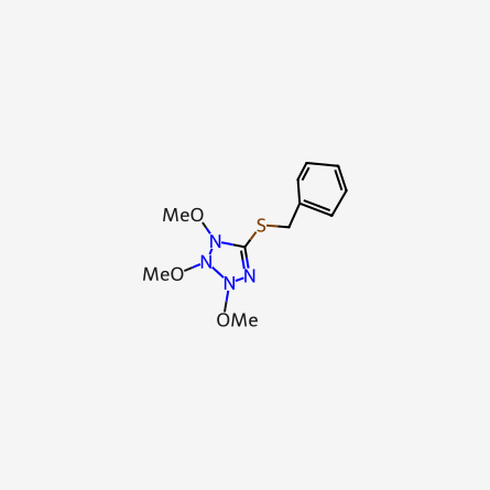 CON1N=C(SCc2ccccc2)N(OC)N1OC